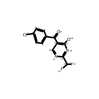 O=C(c1ccc(Cl)cc1)c1cnc(C(F)F)nc1Cl